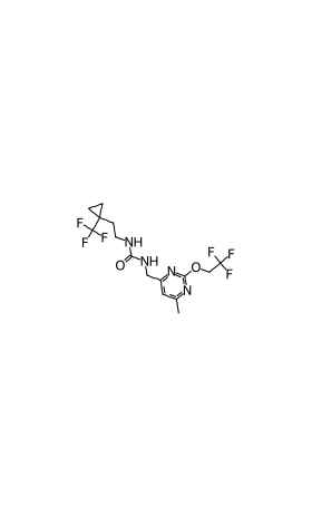 Cc1cc(CNC(=O)NCCC2(C(F)(F)F)CC2)nc(OCC(F)(F)F)n1